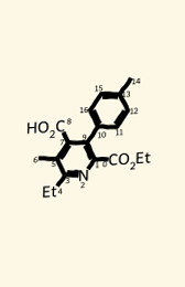 CCOC(=O)c1nc(CC)c(C)c(C(=O)O)c1-c1ccc(C)cc1